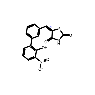 O=C1NC(=O)/C(=C\c2cccc(-c3cccc([N+](=O)[O-])c3O)c2)S1